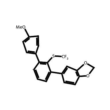 COc1ccc(-c2[c]ccc(-c3ccc4c(c3)OCO4)c2SC(F)(F)F)cc1